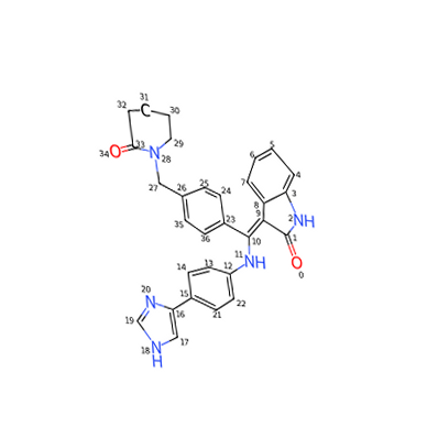 O=C1Nc2ccccc2/C1=C(/Nc1ccc(-c2c[nH]cn2)cc1)c1ccc(CN2CCCCC2=O)cc1